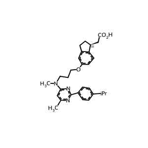 Cc1cc(N(C)CCCOc2ccc3c(c2)CC[C@H]3CC(=O)O)nc(-c2ccc(C(C)C)cc2)n1